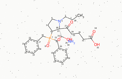 CCCN1CCC(P(=O)(Cc2ccccc2)Cc2ccccc2)[C@]1(C(=O)O)C(=O)[C@@H](N)CCC(=O)O